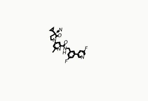 Cc1cc(N2CC[C@@](C#N)(C3CC3)C2=O)cc(C(=O)NCc2cc(F)cc(-c3cncc(F)c3)c2)n1